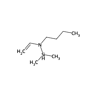 C=CN(CCCC)[SiH](C)C